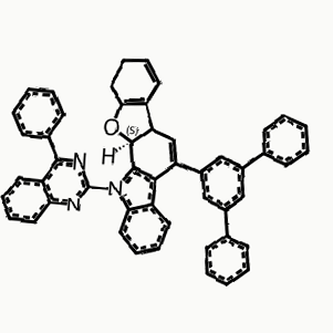 C1=CC2=C(CC1)O[C@@H]1c3c(c4ccccc4n3-c3nc(-c4ccccc4)c4ccccc4n3)C(c3cc(-c4ccccc4)cc(-c4ccccc4)c3)=CC21